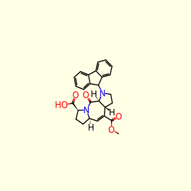 COC(=O)C1=C[C@H]2CC[C@@H](C(=O)O)N2C(=O)[C@@H]2[C@@H]1CCN2C1c2ccccc2-c2ccccc21